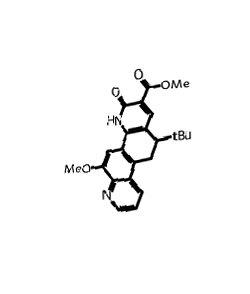 COC(=O)c1cc2c([nH]c1=O)-c1cc(OC)c3ncccc3c1CC2C(C)(C)C